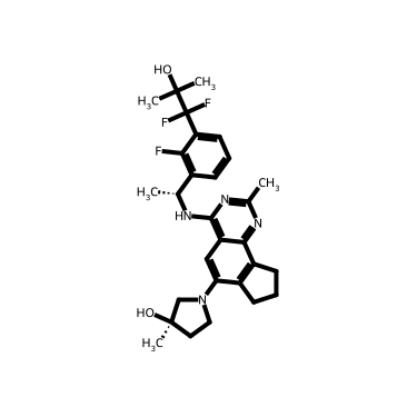 Cc1nc(N[C@H](C)c2cccc(C(F)(F)C(C)(C)O)c2F)c2cc(N3CC[C@@](C)(O)C3)c3c(c2n1)CCC3